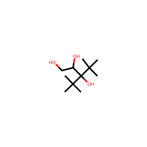 CC(C)(C)C(O)(C(O)CO)C(C)(C)C